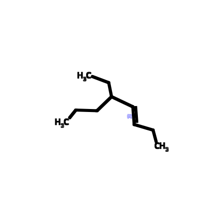 CC/C=C/C(CC)CCC